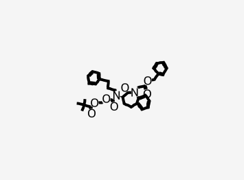 CC(C)(C)C(=O)OCOC(=O)N(CCCc1ccccc1)[C@H]1CCc2ccccc2N(CC(=O)OCc2ccccc2)C1=O